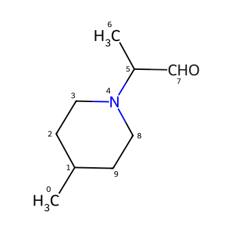 CC1CCN(C(C)C=O)CC1